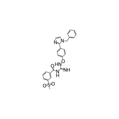 CS(=O)(=O)c1cccc(C(=O)NC(=N)NOc2ccc(-c3nccn3Cc3ccccc3)cc2)c1